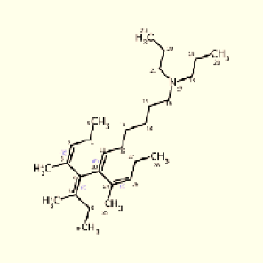 CC\C=C(C)/C(=C(\C)CC)C(=C/CCCCCN(CCC)CCC)/C(C)=C\CC